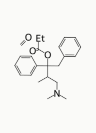 C=O.CCC(=O)OC(Cc1ccccc1)(c1ccccc1)C(C)CN(C)C